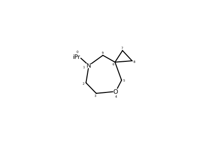 CC(C)N1CCOCC2(CC2)C1